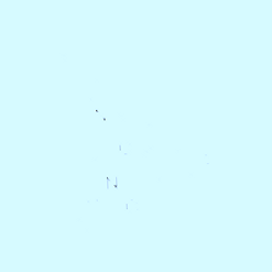 C=C(/C=C\C=C/C)N(c1ccccc1)c1cccc2c1oc1c(-c3nc4ccccc4o3)cc3ccccc3c12